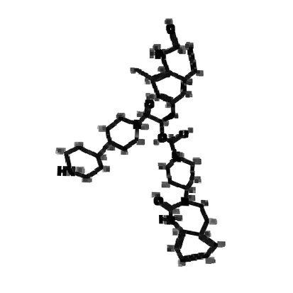 Cc1cc(C[C@@H](OC(=O)N2CCC(N3CCc4ccccc4NC3=O)CC2)C(=O)N2CCC(C3CCNCC3)CC2)cc2ccc(=O)[nH]c12